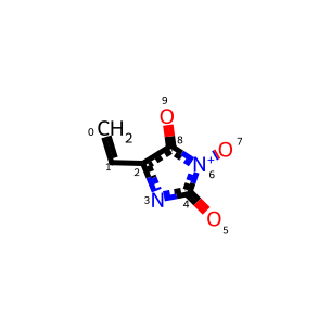 C=Cc1nc(=O)[n+](=O)c1=O